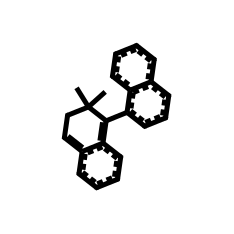 CC1(C)CC=c2ccccc2=C1c1cccc2ccccc12